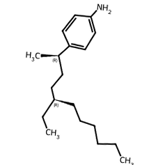 CCCCCC[C@@H](CC)CC[C@@H](C)c1ccc(N)cc1